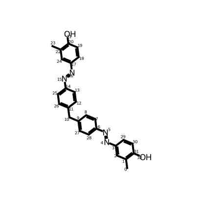 Cc1cc(N=Nc2ccc(Cc3ccc(N=Nc4ccc(O)c(C)c4)cc3)cc2)ccc1O